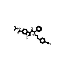 CC(C)NC(=O)c1ccc2c(C(=O)C(NCCc3ccc(C#N)cc3)c3ccccc3)c[nH]c2c1